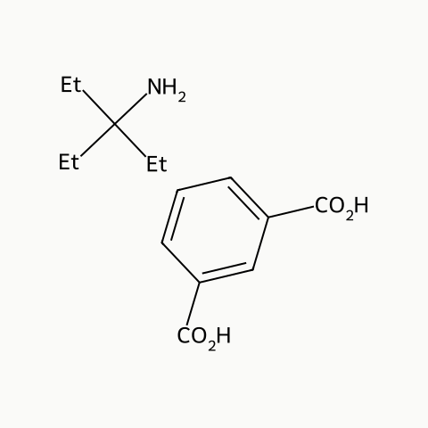 CCC(N)(CC)CC.O=C(O)c1cccc(C(=O)O)c1